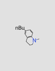 CCCCc1ccc2c(c1)CCCN2C